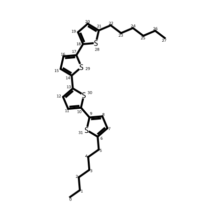 CCCCCCc1ccc(-c2ccc(-c3ccc(-c4ccc(CCCCCC)s4)s3)s2)s1